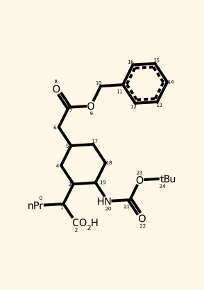 CCCC(C(=O)O)C1CC(CC(=O)OCc2ccccc2)CCC1NC(=O)OC(C)(C)C